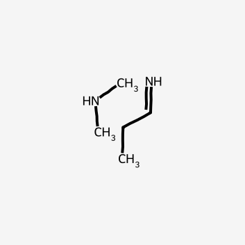 CCC=N.CNC